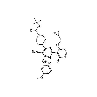 COc1ccc(COc2cccc(OCC3CC3)c2-c2cc(C3CCN(C(=O)OC(C)(C)C)CC3)c(C#N)c([AsH2])n2)cc1